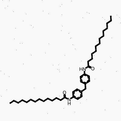 CCCCCCCCCCCCCC(=O)Nc1ccc(Cc2ccc(NC(=O)CCCCCCCCCCCCC)cc2)cc1